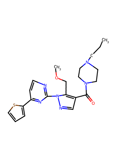 CCCN1CCN(C(=O)c2cnn(-c3nccc(-c4cccs4)n3)c2COC)CC1